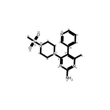 Cc1nc(N)nc(N2CCN(S(C)(=O)=O)CC2)c1-c1cccnc1